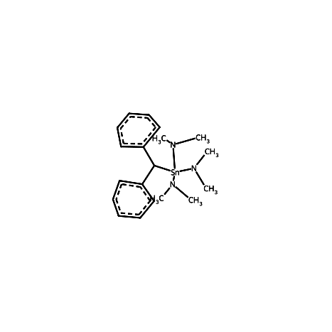 C[N](C)[Sn]([CH](c1ccccc1)c1ccccc1)([N](C)C)[N](C)C